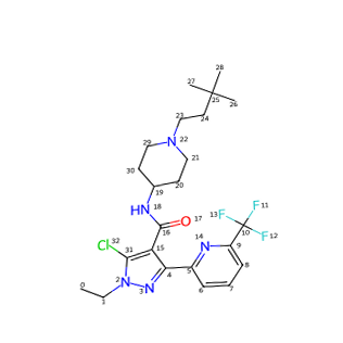 CCn1nc(-c2cccc(C(F)(F)F)n2)c(C(=O)NC2CCN(CCC(C)(C)C)CC2)c1Cl